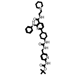 CC(C)(C)OC(=O)Nc1ccc(CNC(=O)NC2CCC(c3ccc(C(=O)NCCN4CCCCC4)c(Nc4ccccc4)n3)CC2)cn1